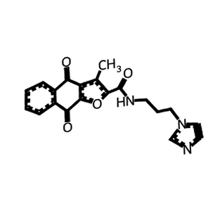 Cc1c(C(=O)NCCCn2c#cnc2)oc2c1C(=O)c1ccccc1C2=O